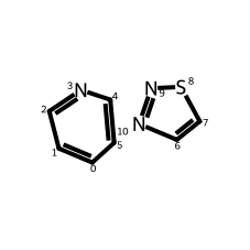 c1ccncc1.c1csnn1